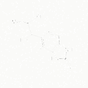 COC(C)C(O)c1ccc2[nH]c(=O)[nH]c2c1